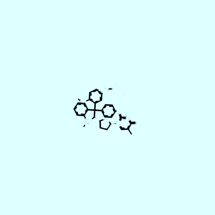 COc1ccccc1C(c1ccccc1)(c1ccccc1OC)C(O)[C@H]1O[C@@H](n2cc(C)c(=O)[nH]c2=O)C[C@@H]1O.NP(O)O